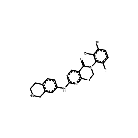 O=C1c2cnc(Nc3ccc4c(c3)CNCC4)nc2OCN1c1c(Cl)ccc(O)c1Cl